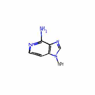 CCCn1cnc2c(N)nccc21